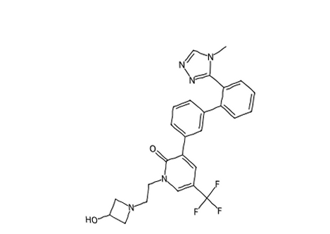 Cn1cnnc1-c1ccccc1-c1cccc(-c2cc(C(F)(F)F)cn(CCN3CC(O)C3)c2=O)c1